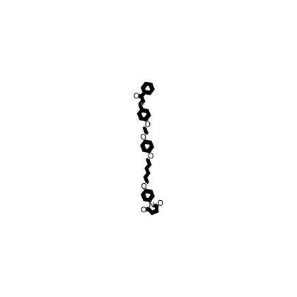 O=C(/C=C/c1ccc(OCCOc2ccc(OCCCCCCOc3ccc(N4C(=O)C=CC4=O)cc3)cc2)cc1)c1ccccc1